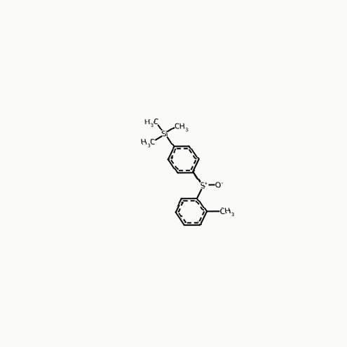 Cc1ccccc1[S+]([O-])c1ccc([Si](C)(C)C)cc1